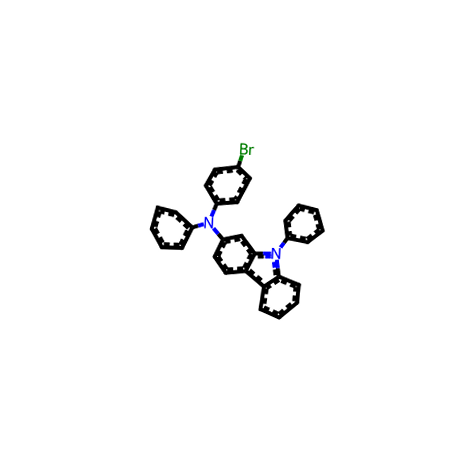 Brc1ccc(N(c2ccccc2)c2ccc3c4ccccc4n(-c4ccccc4)c3c2)cc1